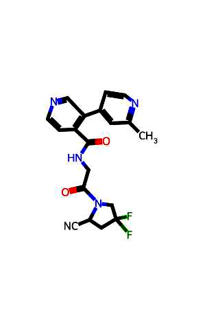 Cc1cc(-c2cnccc2C(=O)NCC(=O)N2CC(F)(F)CC2C#N)ccn1